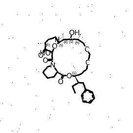 CCC(Cc1ccccc1)[C@@H]1CCCCCC[C@@H](C)[C@H](O)[C@@H](C)[C@@H]2CC[C@@H](C)C(=O)C(O)(O2)C(=O)N2CCCCC2C(=O)O1